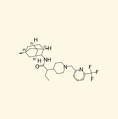 CCC(C(=O)NC1[C@@H]2C[C@@H]3C[C@H]1C[C@@](C)(C3)C2)C1CCN(Cc2cccc(C(F)(F)F)n2)CC1